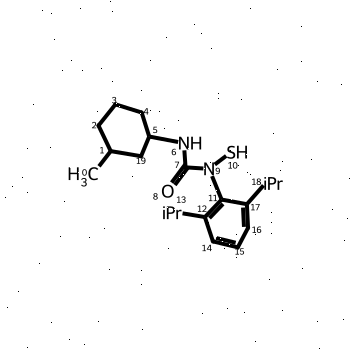 CC1CCCC(NC(=O)N(S)c2c(C(C)C)cccc2C(C)C)C1